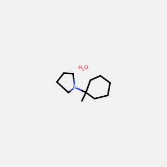 CC1(N2CCCC2)CCCCC1.O